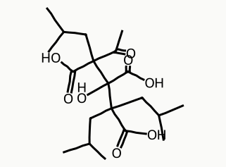 CC(=O)C(CC(C)C)(C(=O)O)C(O)(C(=O)O)C(CC(C)C)(CC(C)C)C(=O)O